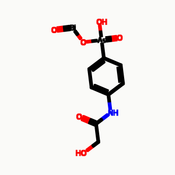 [O]=[Bi][O][As](=O)(O)c1ccc(NC(=O)CO)cc1